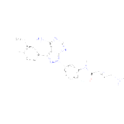 COc1cc(-c2nn(-c3ccc(F)c(N(C)C(=O)/C=C/CN(C)C)c3)c3ncnc(N)c23)ccc1C